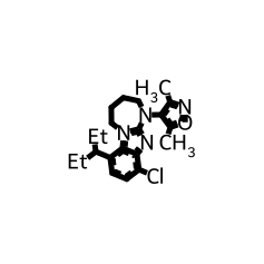 CCC(CC)c1ccc(Cl)c2nc3n(c12)CCCCN3c1c(C)noc1C